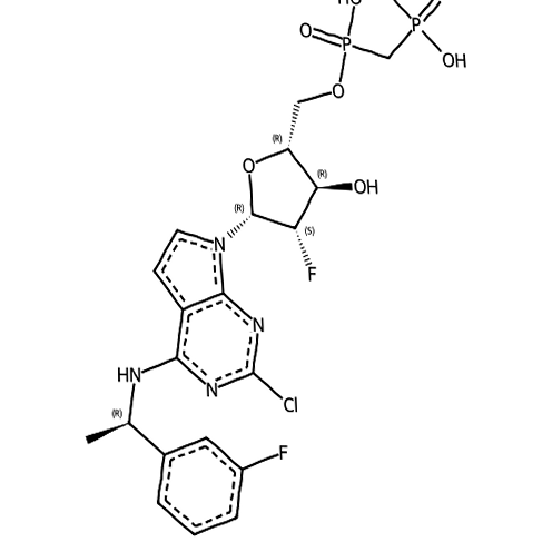 C[C@@H](Nc1nc(Cl)nc2c1ccn2[C@@H]1O[C@H](COP(=O)(O)CP(=O)(O)O)[C@@H](O)[C@@H]1F)c1cccc(F)c1